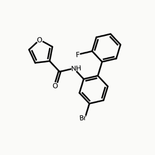 O=C(Nc1cc(Br)ccc1-c1ccccc1F)c1ccoc1